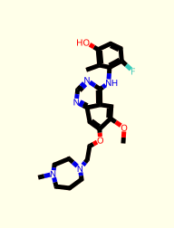 COc1cc2c(Nc3c(F)ccc(O)c3C)ncnc2cc1OCCN1CCCN(C)CC1